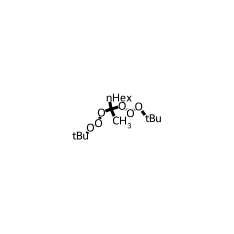 CCCCCCC(C)(OOOC(C)(C)C)OOOC(C)(C)C